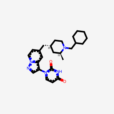 C[C@H]1C[C@H](Cc2ccn3ncc(-n4ccc(=O)[nH]c4=O)c3c2)CCN1CC1CCCCC1